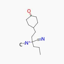 [C-]#[N+]C(C#N)(CCC)CCC1CCC(=O)CC1